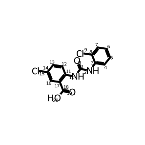 O=C(Nc1ccccc1Cl)Nc1ccc(Cl)cc1C(=O)O